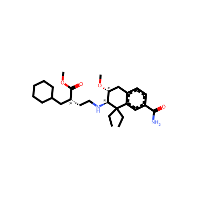 CCC1(CC)c2cc(C(N)=O)ccc2C[C@@H](OC)[C@@H]1NCC[C@H](CC1CCCCC1)C(=O)OC